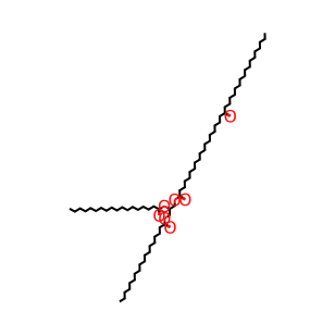 CCCCCCCCCCCCCCCCCC(=O)CCCCCCCCCCCCCCCCCC(=O)OCC(COC(=O)CCCCCCCCCCCCCCCCC)OC(=O)CCCCCCCCCCCCCCCCC